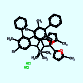 CCc1cc2c(c(-c3ccccc3)c1C)C=C(c1ccc(C)o1)[CH]2[Zr]([CH3])([CH3])(=[SiH2])[CH]1C(c2ccc(C)o2)=Cc2c1cc(CC)c(C)c2-c1ccccc1.Cl.Cl